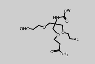 CCCC(=O)NC(COCCC=O)(COCCC(C)=O)COCCC(N)=O